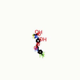 O=C(O)C1CSCN1CC1CC=C(OCC2CC(c3ccc(C(F)(F)F)cc3)=NO2)CC1O